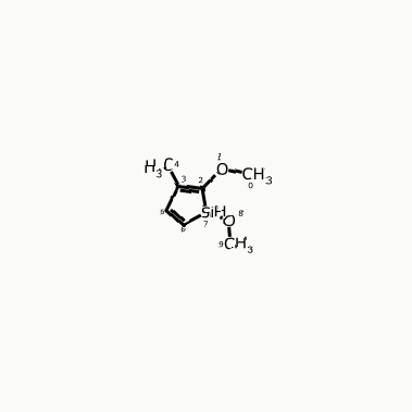 COC1=C(C)C=C[SiH]1OC